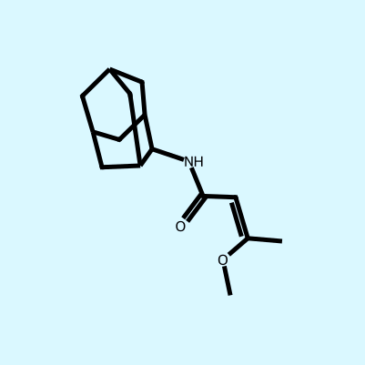 COC(C)=CC(=O)NC1C2CC3CC(C2)CC1C3